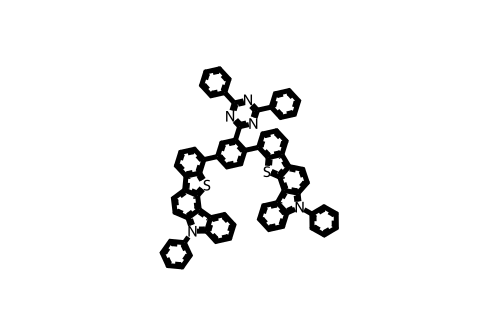 c1ccc(-c2nc(-c3ccccc3)nc(-c3cc(-c4cccc5c4sc4c5ccc5c4c4ccccc4n5-c4ccccc4)ccc3-c3cccc4c3sc3c4ccc4c3c3ccccc3n4-c3ccccc3)n2)cc1